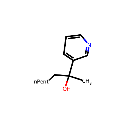 CCCCCCC(C)(O)c1cccnc1